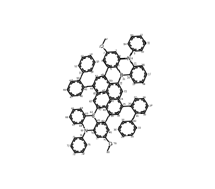 COc1cc2c3c(c1)N(c1ccccc1)c1ccccc1B3c1cc3c(-c4ccccc4-c4ccccc4)cc4c5c(cc6c(-c7ccccc7-c7ccccc7)cc-2c1c6c35)B1c2ccccc2N(c2ccccc2)c2cc(OC)cc-4c21